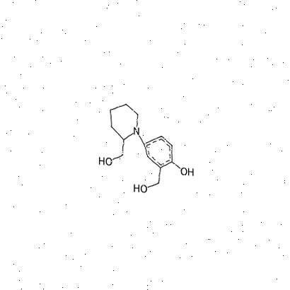 OCc1cc(N2CCCCC2CO)ccc1O